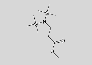 COC(=O)CCN([Si](C)(C)C)[Si](C)(C)C